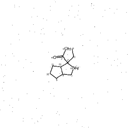 CCC1(C(=O)O)NCC2CCCC21